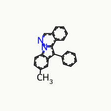 Cc1ccc2c(c1)c(-c1ccccc1)c1c3ccccc3cnn21